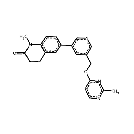 Cc1nccc(OCc2cncc(-c3ccc4c(c3)CCC(=O)N4C)c2)n1